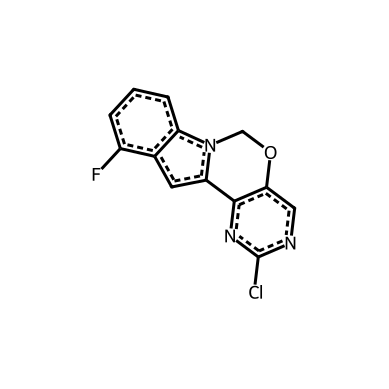 Fc1cccc2c1cc1n2COc2cnc(Cl)nc2-1